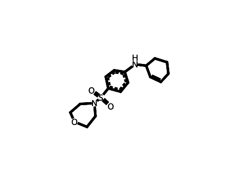 O=S(=O)(c1ccc(NC2C=CCCC2)cc1)N1CCOCC1